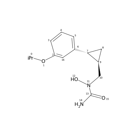 CC(C)Oc1cccc([C@@H]2C[C@H]2CN(O)C(N)=O)c1